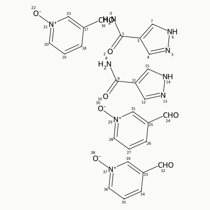 NC(=O)c1cn[nH]c1.NC(=O)c1cn[nH]c1.O=Cc1ccc[n+]([O-])c1.O=Cc1ccc[n+]([O-])c1.O=Cc1ccc[n+]([O-])c1